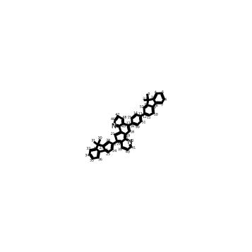 CC1(C)c2ccccc2-c2ccc(-c3ccc(-c4cc5c(cc(-c6ccc7c(c6)C(C)(C)c6ccccc6-7)c6cccnc65)c5ncccc45)cc3)cc21